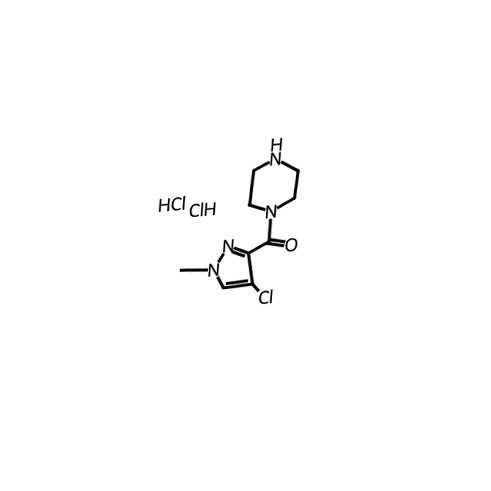 Cl.Cl.Cn1cc(Cl)c(C(=O)N2CCNCC2)n1